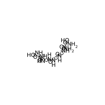 C[C@@H](O)[C@H](N)C(=O)CCN(N)C(=O)c1cc2cc(NC(=O)c3ccc4[nH]c(C(=O)Nc5ccc6[nH]c(C(=O)N(N)CCC(=O)[C@@H](N)[C@@H](C)O)cc6c5)cc4c3)ccc2[nH]1